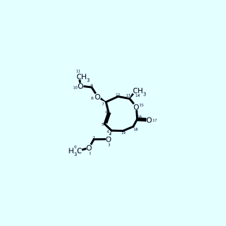 COCO[C@@H]1/C=C/[C@@H](OCOC)C[C@@H](C)OC(=O)CC1